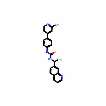 Cc1cc(-c2ccc(NC(=O)NC(C)c3ccc4cccnc4c3)cc2)ccn1